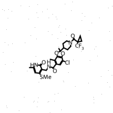 CSc1cc(C)[nH]c(=O)c1CNC(=O)c1cc(Cl)c2c(c1C)OC(C)(C1CCN(C(=O)C3(C(F)(F)F)CC3)CC1)O2